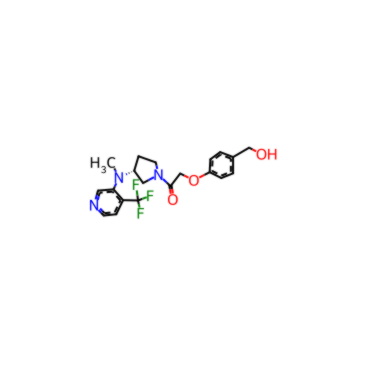 CN(c1cnccc1C(F)(F)F)[C@@H]1CCN(C(=O)COc2ccc(CO)cc2)C1